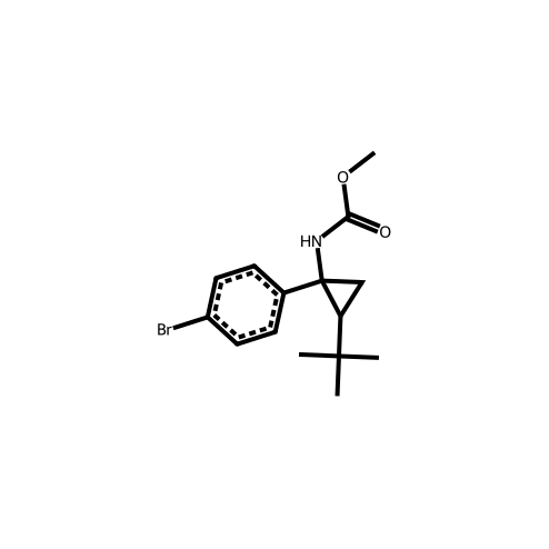 COC(=O)NC1(c2ccc(Br)cc2)CC1C(C)(C)C